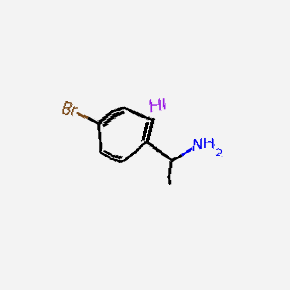 CC(N)c1ccc(Br)cc1.I